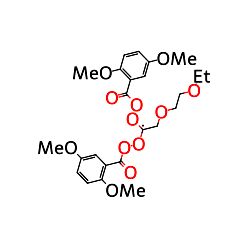 [CH2]COCCOC[C](OOC(=O)c1cc(OC)ccc1OC)OOC(=O)c1cc(OC)ccc1OC